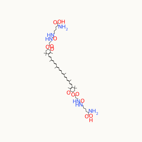 CC1=C(/C=C/C(C)=C/C=C/C(C)=C/C=C/C=C(C)/C=C/C=C(C)/C=C/C2=C(C)C(=O)C(OC(=O)CCNC(=O)NCCCCC(N)C(=O)O)CC2(C)C)C(C)(C)CC(OC(=O)CCNC(=O)NCCCCC(N)C(=O)O)C1=O